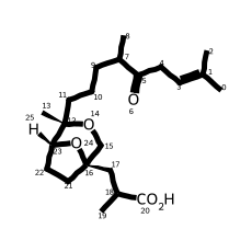 CC(C)=CCC(=O)C(C)CCC[C@]1(C)OC[C@]2(CC(C)C(=O)O)CC[C@H]1O2